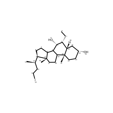 CC[C@H]1[C@@H](O)C2C3CC[C@H]([C@H](C)CCI)[C@@]3(C)CCC2[C@@]2(C)CC[C@@H](O)C[C@@H]12